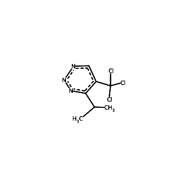 CC(C)c1nnncc1C(Cl)(Cl)Cl